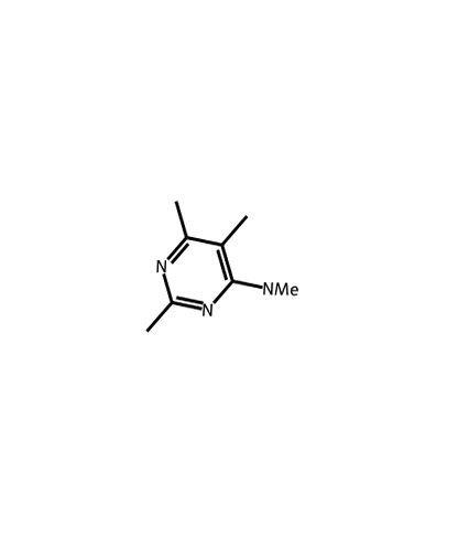 CNc1nc(C)nc(C)c1C